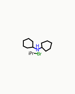 C1CCC(NC2CCCCC2)CC1.CC(C)Br